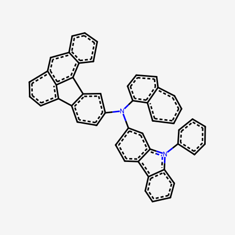 c1ccc(-n2c3ccccc3c3ccc(N(c4ccc5c(c4)-c4c6ccccc6cc6cccc-5c46)c4cccc5ccccc45)cc32)cc1